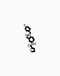 O=C(Nc1ccc2c(cnn2Cc2ccc(F)cc2)c1)c1cccs1